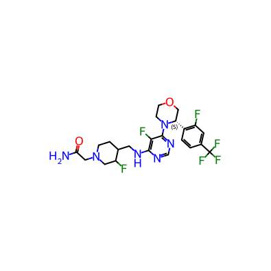 NC(=O)CN1CCC(CNc2ncnc(N3CCOC[C@@H]3c3ccc(C(F)(F)F)cc3F)c2F)C(F)C1